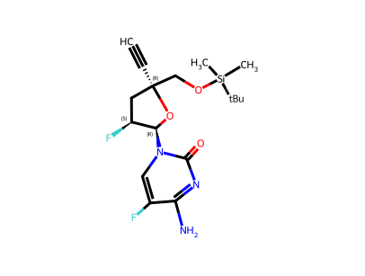 C#C[C@@]1(CO[Si](C)(C)C(C)(C)C)C[C@H](F)[C@H](n2cc(F)c(N)nc2=O)O1